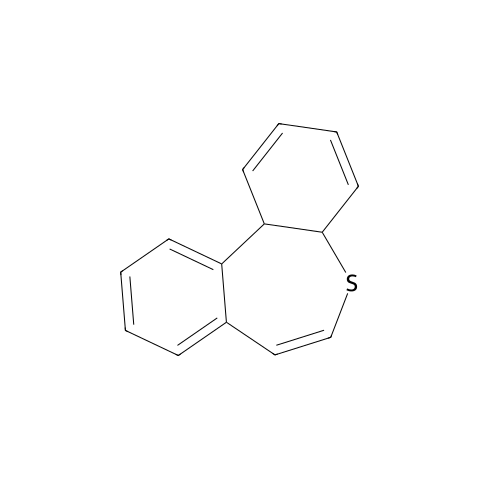 C1=CC2SC=Cc3ccccc3C2C=C1